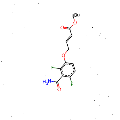 CCCCOC(=O)/C=C/COc1ccc(F)c(C(N)=O)c1F